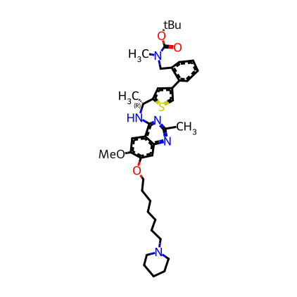 COc1cc2c(N[C@H](C)c3cc(-c4ccccc4CN(C)C(=O)OC(C)(C)C)cs3)nc(C)nc2cc1OCCCCCCCN1CCCCC1